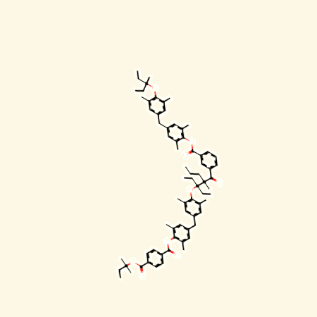 CCCC(C)(C(=O)c1cccc(C(=O)Oc2c(C)cc(Cc3cc(C)c(OC(C)(CC)CC)c(C)c3)cc2C)c1)C(CC)(CC)Oc1c(C)cc(Cc2cc(C)c(OC(=O)c3ccc(C(=O)OC(C)(C)CC)cc3)c(C)c2)cc1C